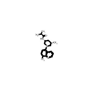 CC(N)C(=O)N[C@@H]1C[C@H](C(F)(F)F)CN(c2ccc(C(F)(F)F)c3ncccc23)C1